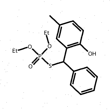 CCOP(=O)(OCC)SC(c1ccccc1)c1cc(C)ccc1O